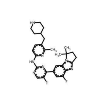 Cc1nc(Nc2ncc(F)c(-c3cc(F)c4nc5n(c4c3)C(C)(C)CC5)n2)ccc1CC1CCNCC1